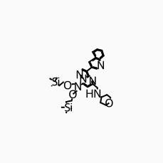 C[Si](C)(C)CCOCN(COCC[Si](C)(C)C)c1cc(CNC2CCOCC2)nc2c(-c3cnc4ccccc4c3)cnn12